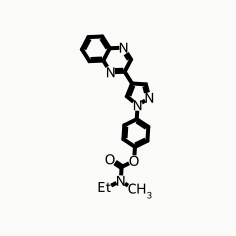 CCN(C)C(=O)Oc1ccc(-n2cc(-c3cnc4ccccc4n3)cn2)cc1